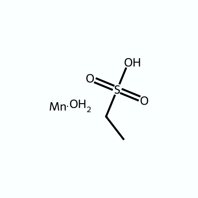 CCS(=O)(=O)O.O.[Mn]